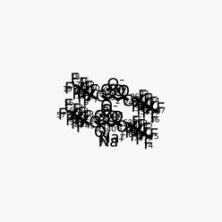 O=C(CC(C(=O)OCC(F)(F)C(F)(F)C(F)(F)C(F)F)S(=O)(=O)[O-])OCC(F)(F)C(F)(F)C(F)(F)C(F)F.O=C(CC(C(=O)OCC(F)(F)C(F)(F)C(F)(F)C(F)F)S(=O)(=O)[O-])OCC(F)(F)C(F)(F)C(F)(F)C(F)F.[Na+].[Na+]